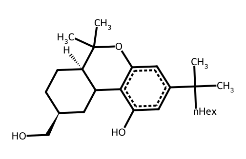 CCCCCCC(C)(C)c1cc(O)c2c(c1)OC(C)(C)[C@@H]1CC[C@H](CO)CC21